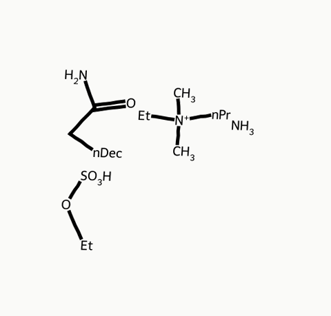 CCCCCCCCCCCC(N)=O.CCC[N+](C)(C)CC.CCOS(=O)(=O)O.N